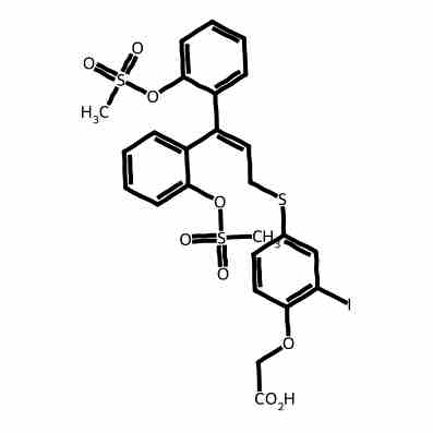 CS(=O)(=O)Oc1ccccc1C(=CCSc1ccc(OCC(=O)O)c(I)c1)c1ccccc1OS(C)(=O)=O